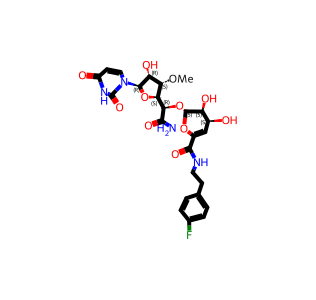 CO[C@H]1[C@@H](O)[C@H](n2ccc(=O)[nH]c2=O)O[C@@H]1[C@@H](O[C@H]1OC(C(=O)NCCc2ccc(F)cc2)=C[C@H](O)[C@@H]1O)C(N)=O